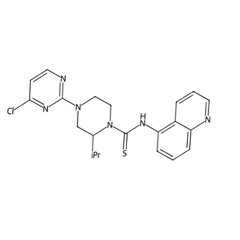 CC(C)C1CN(c2nccc(Cl)n2)CCN1C(=S)Nc1cccc2ncccc12